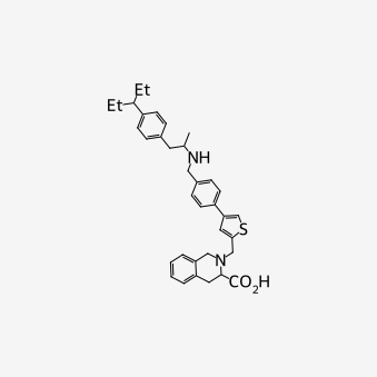 CCC(CC)c1ccc(CC(C)NCc2ccc(-c3csc(CN4Cc5ccccc5CC4C(=O)O)c3)cc2)cc1